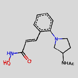 CC(=O)NC1CCN(c2ccccc2C=CC(=O)NO)C1